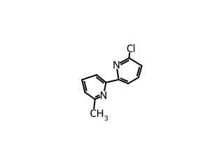 Cc1cccc(-c2cccc(Cl)n2)n1